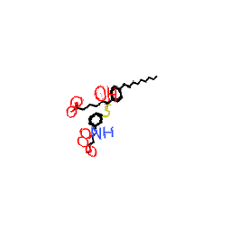 CCCCCCCCCc1ccc([C@@H](Sc2cccc(NC(=O)CC(=O)OC)c2)[C@@H](O)CCCC(=O)OC)cc1